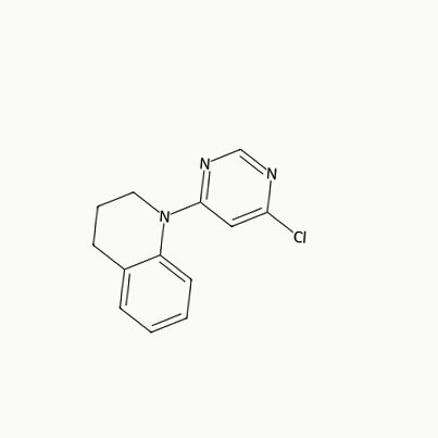 Clc1cc(N2CCCc3ccccc32)ncn1